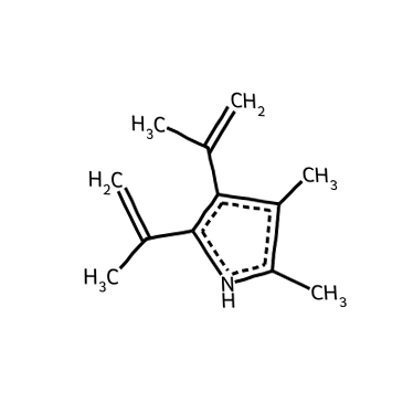 C=C(C)c1[nH]c(C)c(C)c1C(=C)C